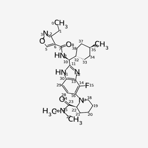 CCc1nocc1C(=O)N[C@H](c1nc2c(F)c(N3CCCC[C@H]3C(=O)N(C)C)ccc2[nH]1)[C@H]1CC[C@H](C)CC1